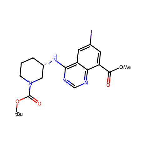 COC(=O)c1cc(I)cc2c(N[C@H]3CCCN(C(=O)OC(C)(C)C)C3)ncnc12